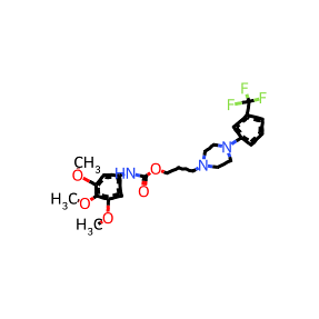 COc1cc(NC(=O)OCCCN2CCN(c3cccc(C(F)(F)F)c3)CC2)cc(OC)c1OC